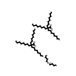 CCCCCCCCC(CCCCCCCC)(CCCCCCCC)C(=O)[O-].CCCCCCCCC(CCCCCCCC)(CCCCCCCC)C(=O)[O-].CCC[CH2][Sn+2][CH2]CCC